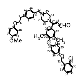 COc1ccc(OCCc2ccc(CN3CCN(/C(=C/C=O)c4cc(C)c(Oc5ccc(OCc6ccccc6Cl)cn5)c(C)c4)CC3)cc2)cc1